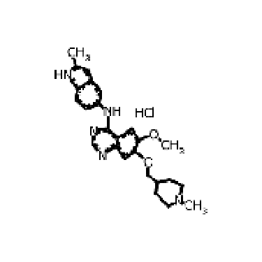 COc1cc2c(Nc3ccc4[nH]c(C)cc4c3)ncnc2cc1OCC1CCN(C)CC1.Cl